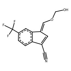 N#CC1=CC(=COCO)c2cc(C(F)(F)F)ccc21